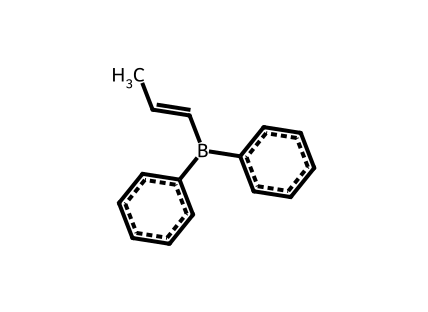 C/C=C/B(c1ccccc1)c1ccccc1